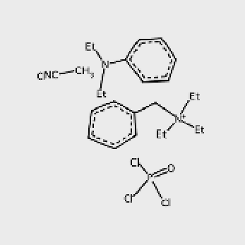 CC#N.CCN(CC)c1ccccc1.CC[N+](CC)(CC)Cc1ccccc1.O=P(Cl)(Cl)Cl.[Cl-]